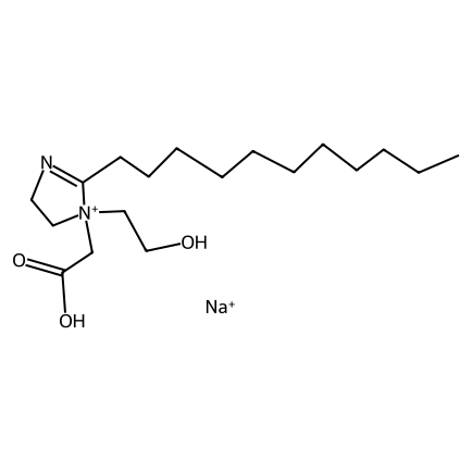 CCCCCCCCCCCC1=NCC[N+]1(CCO)CC(=O)O.[Na+]